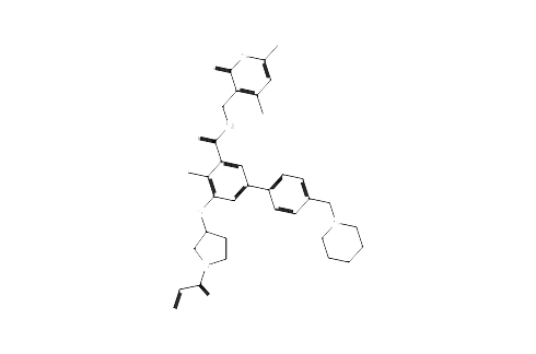 C=CC(=O)N1CCC(Nc2cc(-c3ccc(CN4CCCCC4)cc3)cc(C(=O)NCc3c(C)cc(C)[nH]c3=O)c2C)C1